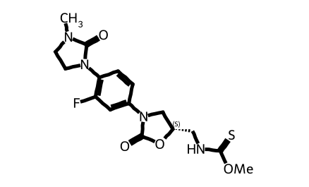 COC(=S)NC[C@H]1CN(c2ccc(N3CCN(C)C3=O)c(F)c2)C(=O)O1